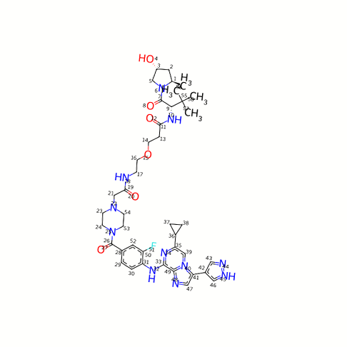 C[C@@H]1C[C@@H](O)CN1C(=O)[C@@H](NC(=O)CCOCCNC(=O)CN1CCN(C(=O)c2ccc(Nc3nc(C4CC4)cn4c(-c5cn[nH]c5)cnc34)c(F)c2)CC1)C(C)(C)C